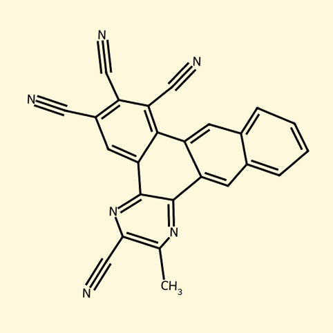 Cc1nc2c3cc4ccccc4cc3c3c(C#N)c(C#N)c(C#N)cc3c2nc1C#N